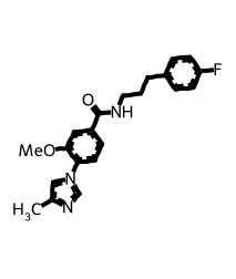 COc1cc(C(=O)NCCCc2ccc(F)cc2)ccc1-n1cnc(C)c1